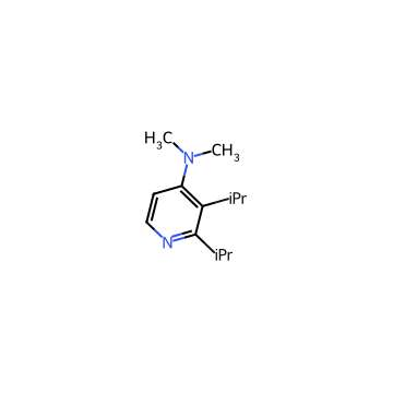 CC(C)c1nccc(N(C)C)c1C(C)C